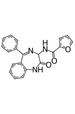 O=C(NC1N=C(c2ccccc2)c2ccccc2NC1=O)c1ccco1